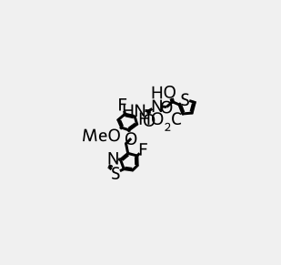 COc1cc(F)c(NC(=O)NOC(=O)c2sccc2C(=O)O)cc1OCc1c(F)ccc2scnc12